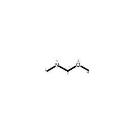 C[N]COC